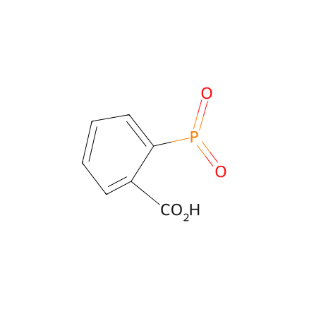 O=C(O)c1ccccc1P(=O)=O